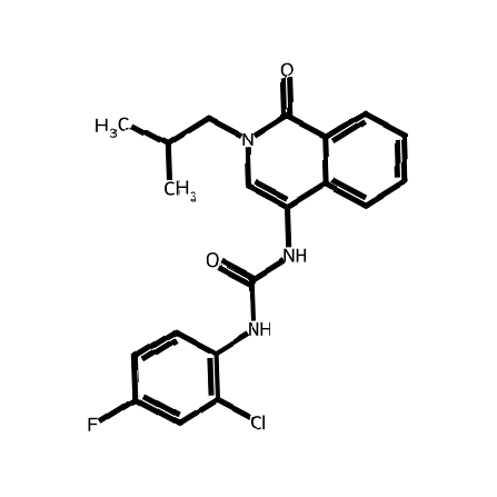 CC(C)Cn1cc(NC(=O)Nc2ccc(F)cc2Cl)c2ccccc2c1=O